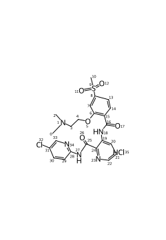 CN(C)CCOc1cc(S(C)(=O)=O)ccc1C(=O)Nc1cccnc1C(=O)Nc1ccc(Cl)cn1.Cl